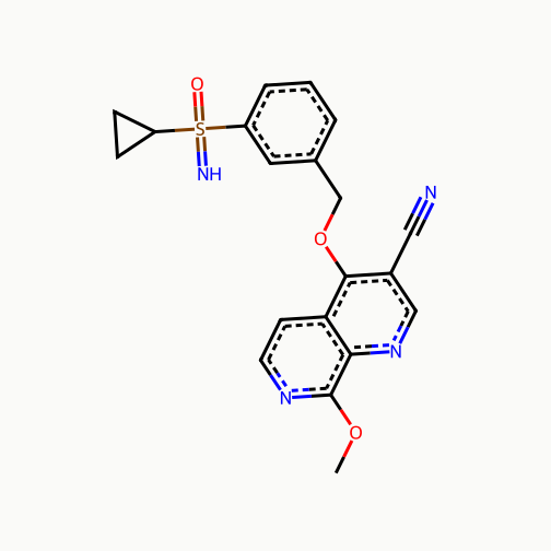 COc1nccc2c(OCc3cccc(S(=N)(=O)C4CC4)c3)c(C#N)cnc12